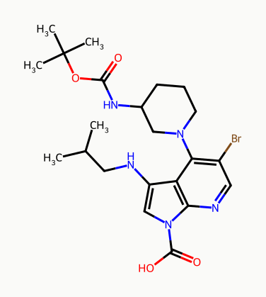 CC(C)CNc1cn(C(=O)O)c2ncc(Br)c(N3CCCC(NC(=O)OC(C)(C)C)C3)c12